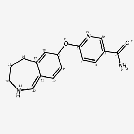 NC(=O)c1ccc(OC2C=CC3=CNCCCC3=C2)nc1